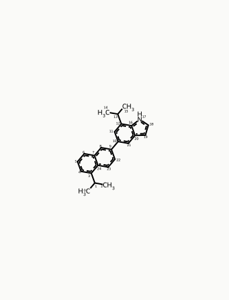 CC(C)c1cccc2cc(-c3cc(C(C)C)c4[nH]ccc4c3)ccc12